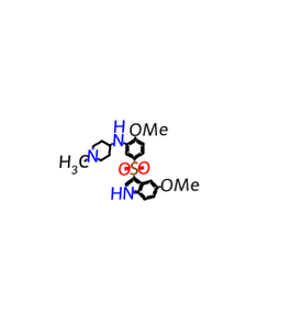 COc1ccc2[nH]cc(S(=O)(=O)c3ccc(OC)c(NC4CCN(C)CC4)c3)c2c1